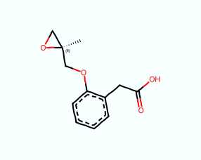 C[C@@]1(COc2ccccc2CC(=O)O)CO1